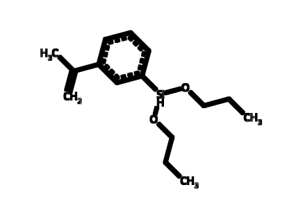 C=C(C)c1cccc([SiH](OCCC)OCCC)c1